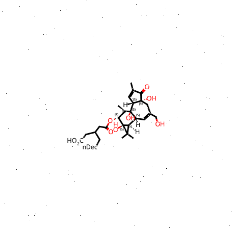 CCCCCCCCCCCC(CC(=O)O)CC(=O)O[C@@H]1[C@@H](C)[C@@]2(O)[C@@H](C=C(CO)C[C@]3(O)C(=O)C(C)=C[C@@H]23)[C@H]2C(C)(C)[C@]12O